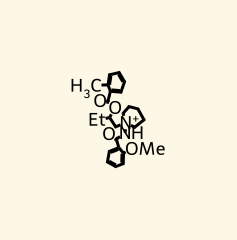 CCC(C[N+]1(NC(=O)c2ccccc2OC)CCCCC1)OC(=O)c1ccccc1C